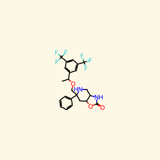 CC(OCC1(c2ccccc2)CC2OC(=O)NC2CN1)c1cc(C(F)(F)F)cc(C(F)(F)F)c1